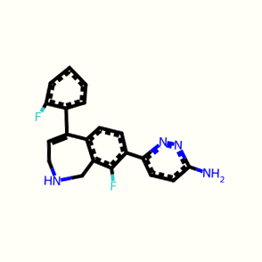 Nc1ccc(-c2ccc3c(c2F)CNCC=C3c2ccccc2F)nn1